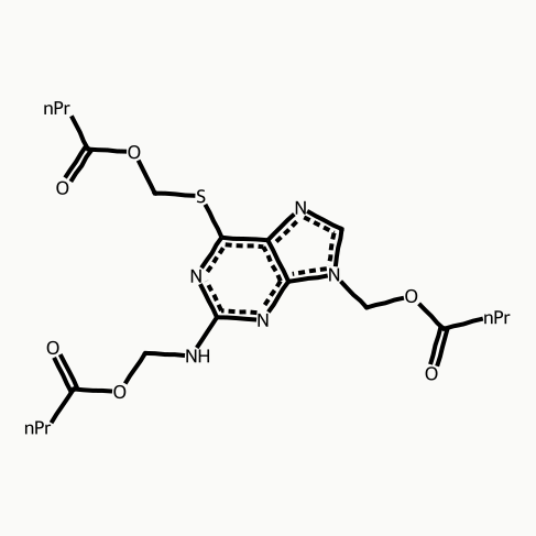 CCCC(=O)OCNc1nc(SCOC(=O)CCC)c2ncn(COC(=O)CCC)c2n1